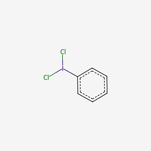 ClI(Cl)c1ccccc1